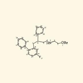 COCCNCCC(Cc1cc(F)ccc1-c1ccccc1)c1ccccc1